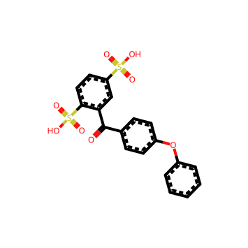 O=C(c1ccc(Oc2ccccc2)cc1)c1cc(S(=O)(=O)O)ccc1S(=O)(=O)O